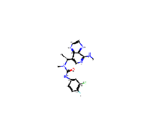 CNc1ncc([C@H](C)N(C)C(=O)Nc2ccc(F)c(Cl)c2)c2nccnc12